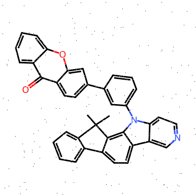 CC1(C)c2ccccc2-c2ccc3c4cnccc4n(-c4cccc(-c5ccc6c(=O)c7ccccc7oc6c5)c4)c3c21